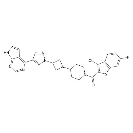 O=C(c1sc2cc(F)ccc2c1Cl)N1CCC(N2CC(n3cc(-c4ncnc5[nH]ccc45)cn3)C2)CC1